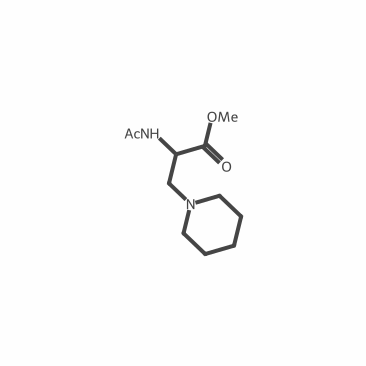 COC(=O)C(CN1CCCCC1)NC(C)=O